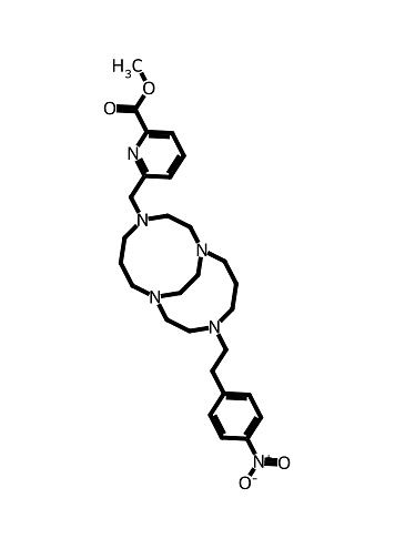 COC(=O)c1cccc(CN2CCCN3CCN(CCc4ccc([N+](=O)[O-])cc4)CCCN(CC3)CC2)n1